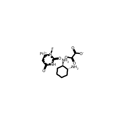 N[C@@H]1CCCC[C@H]1N.O=C([O-])C(=O)[O-].O=c1ccn(F)c(=O)[nH]1.[Pt+2]